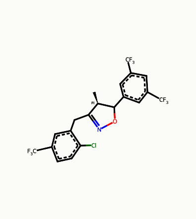 C[C@@H]1C(Cc2cc(C(F)(F)F)ccc2Cl)=NOC1c1cc(C(F)(F)F)cc(C(F)(F)F)c1